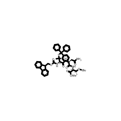 COC(=O)[C@@H](NC(=O)[C@H](CC(N)=O)NC(=O)[C@@H](NC(=O)OCC1c2ccccc2-c2ccccc21)C(C)(C)SC(c1ccccc1)(c1ccccc1)c1ccccc1)[C@@H](C)OC(C)(C)C